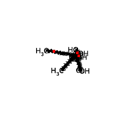 CCCCCCCCCCCCCCCCCCN(C(=O)CCCCCCCCCCC)[C@@H]1O[C@H](CO)[C@H](O)[C@H](O)[C@H]1NC(=O)CCCCCCC(=O)O